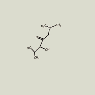 CC(O)C(O)C(=O)CN(C)C